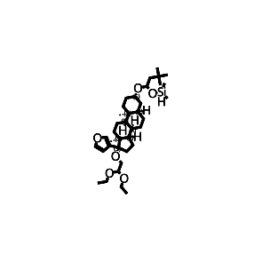 CCOC(CO[C@@]1(c2ccoc2)CC[C@H]2[C@@H]3CC[C@@H]4C[C@@H](OC(CC(C)(C)C)O[SiH](C)C)CC[C@]4(C)[C@H]3CC[C@@]21C)OCC